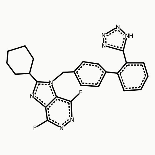 Fc1nnc(F)c2c1nc(C1CCCCC1)n2Cc1ccc(-c2ccccc2-c2nnn[nH]2)cc1